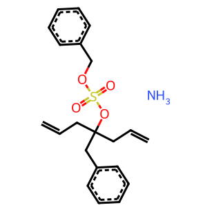 C=CCC(CC=C)(Cc1ccccc1)OS(=O)(=O)OCc1ccccc1.N